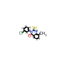 Cc1cccc2c(=O)n(-c3cccc(Cl)c3)c(S)nc12